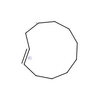 [CH]1C/C=C/CCCCCCC1